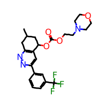 CC1Cc2nnc(-c3cccc(C(F)(F)F)c3)cc2C(OC(=O)OCCN2CCOCC2)C1